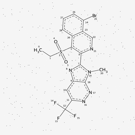 CCS(=O)(=O)c1c(-c2nc3cc(C(F)(F)F)nnc3n2C)ncc2c(Br)cccc12